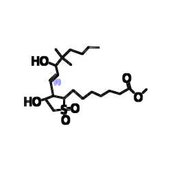 CCCCC(C)(C)C(O)/C=C/C1C(O)CS(=O)(=O)C1CCCCCCC(=O)OC